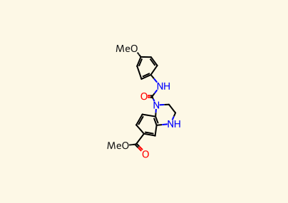 COC(=O)c1ccc2c(c1)NCCN2C(=O)Nc1ccc(OC)cc1